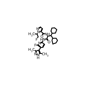 Cc1n[nH]c(C)c1-c1ccc(NC(=O)[C@@H](NC(=O)c2ccnn2C(C)CF)C(C2CCCCC2)C2CCCCC2)nc1F